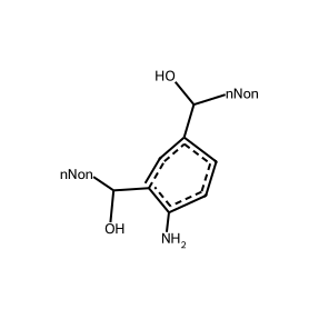 CCCCCCCCCC(O)c1ccc(N)c(C(O)CCCCCCCCC)c1